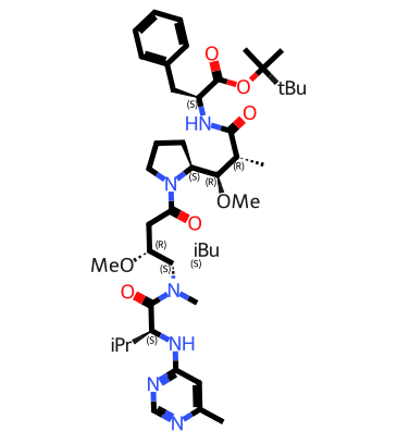 CC[C@H](C)[C@@H]([C@@H](CC(=O)N1CCC[C@H]1[C@H](OC)[C@@H](C)C(=O)N[C@@H](Cc1ccccc1)C(=O)OC(C)(C)C(C)(C)C)OC)N(C)C(=O)[C@@H](Nc1cc(C)ncn1)C(C)C